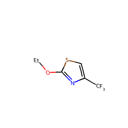 CCOc1nc(C(F)(F)F)cs1